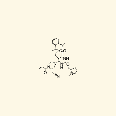 C=CC(=O)N1CCN(C2NC(OCC3CCCN3C)NC3C(=O)[C@]4(CCC32)CN(C)c2ccccc2C4C)CC1CC#N